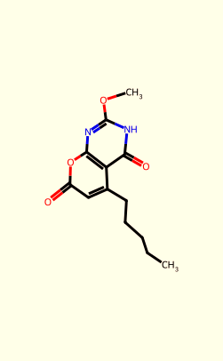 CCCCCc1cc(=O)oc2nc(OC)[nH]c(=O)c12